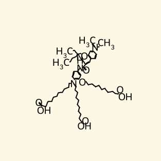 CCCCC(CC)COc1cc(N(CC)CC)ccc1/C=C(\C#N)C(=O)Nc1ccc(N(CCCCCCCCCCC(=O)O)CCCCCCCCCCC(=O)O)c(OCCCCCCCCCCC(=O)O)c1